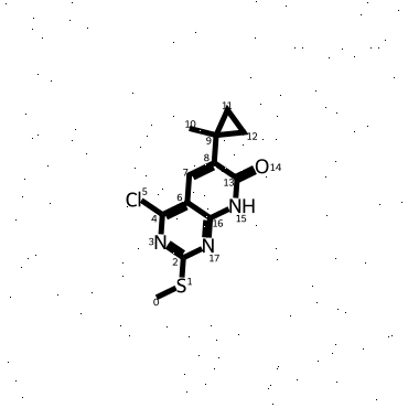 CSc1nc(Cl)c2cc(C3(C)CC3)c(=O)[nH]c2n1